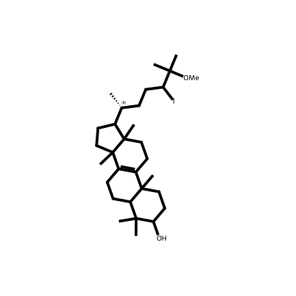 COC(C)(C)C(I)CC[C@@H](C)C1CCC2(C)C3=C(CCC12C)C1(C)CCC(O)C(C)(C)C1CC3